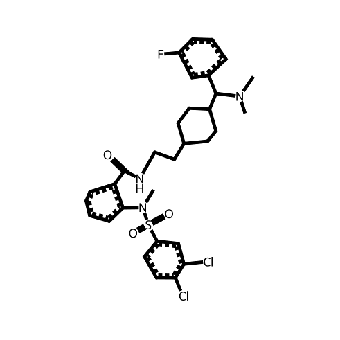 CN(C)C(c1cccc(F)c1)C1CCC(CCNC(=O)c2ccccc2N(C)S(=O)(=O)c2ccc(Cl)c(Cl)c2)CC1